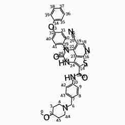 COC1CCN(Cc2ccc(NC(=O)c3sc4ncc(C#N)c5c4c3NC(=O)N5c3ccc(Oc4ccccc4)cc3)cc2)CC1